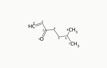 [CH]=CC(=O)CCC(C)C